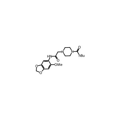 CCCCC(=O)N1CCN(CC(=O)Nc2cc3c(cc2OC)OCO3)CC1